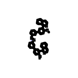 COc1ccc(-c2cccc(/N=N/c3cccc(-c4ccc(OC)c(-c5nccc6ccccc56)c4)c3)c2)cc1-c1nccc2ccccc12